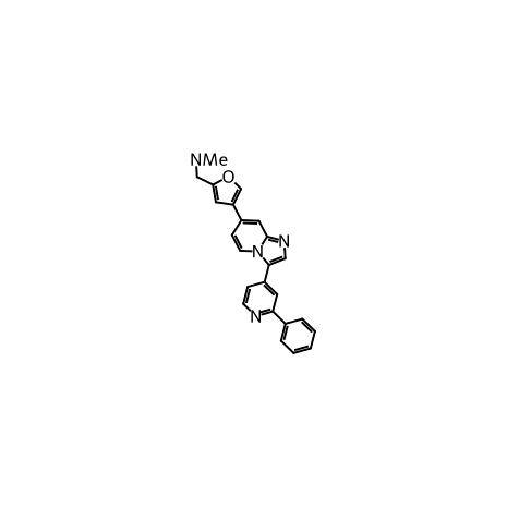 CNCc1cc(-c2ccn3c(-c4ccnc(-c5ccccc5)c4)cnc3c2)co1